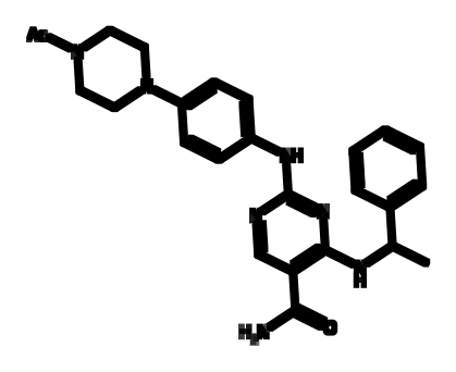 CC(=O)N1CCN(c2ccc(Nc3ncc(C(N)=O)c(NC(C)c4ccccc4)n3)cc2)CC1